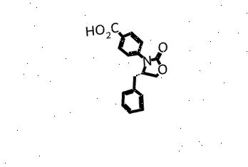 O=C(O)c1ccc(N2C(=O)OC[C@@H]2Cc2ccccc2)cc1